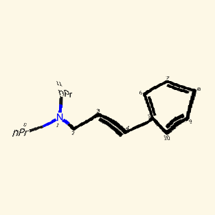 CCCN(CC=Cc1ccccc1)CCC